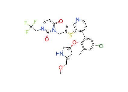 COC[C@@H]1C[C@H](Oc2c(C)cc(Cl)cc2-c2ccnc3cc(Cn4c(=O)ccn(CC(F)(F)F)c4=O)sc23)CN1